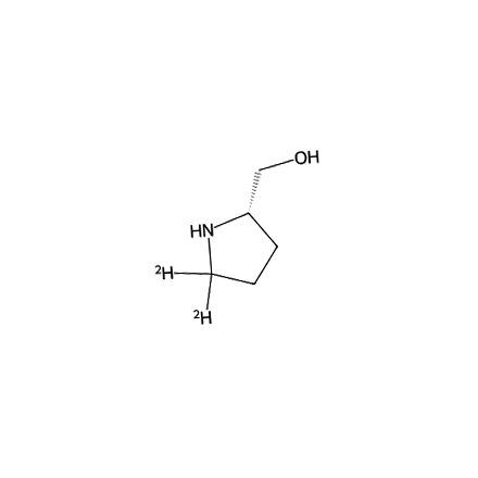 [2H]C1([2H])CC[C@@H](CO)N1